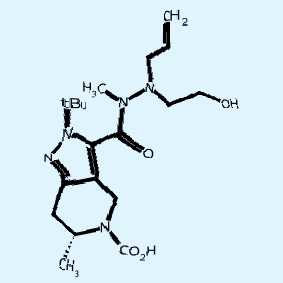 C=CCN(CCO)N(C)C(=O)c1c2c(nn1C(C)(C)C)C[C@@H](C)N(C(=O)O)C2